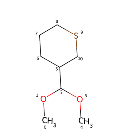 COC(OC)C1CCCSC1